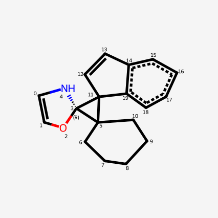 C1=CO[C@]2(N1)C1(CCCCC1)C21C=Cc2ccccc21